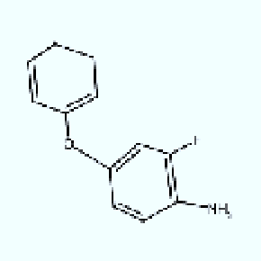 Nc1ccc(OC2=CC[CH]C=C2)cc1F